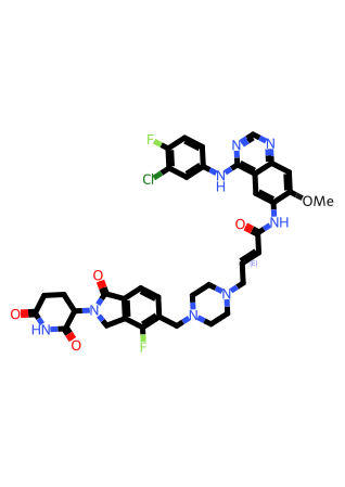 COc1cc2ncnc(Nc3ccc(F)c(Cl)c3)c2cc1NC(=O)/C=C/CN1CCN(Cc2ccc3c(c2F)CN(C2CCC(=O)NC2=O)C3=O)CC1